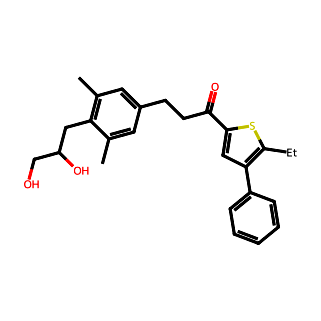 CCc1sc(C(=O)CCc2cc(C)c(CC(O)CO)c(C)c2)cc1-c1ccccc1